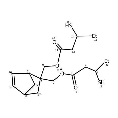 CCC(S)CC(=O)OCC1(COC(=O)CC(S)CC)CC2C=CC1C2